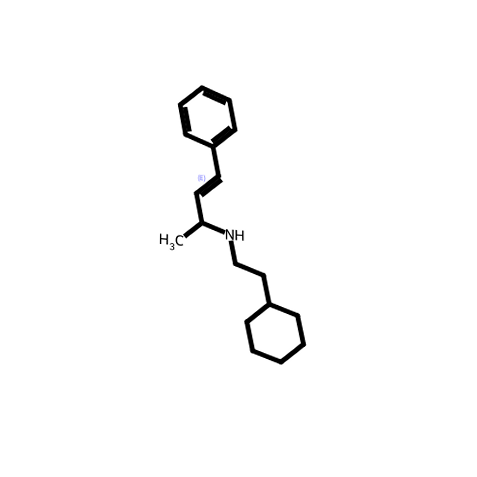 CC(/C=C/c1ccccc1)NCCC1CCCCC1